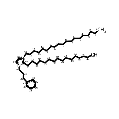 CCCCCCCCCCCCCCCCCCCn1cc[n+](CCCc2ccccc2)c1CCCCCCCCCCCCCCCC